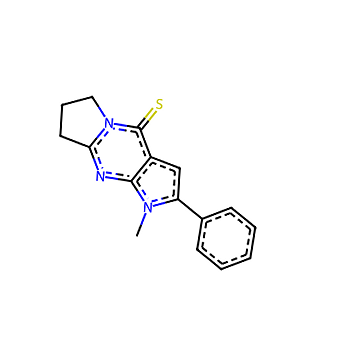 Cn1c(-c2ccccc2)cc2c(=S)n3c(nc21)CCC3